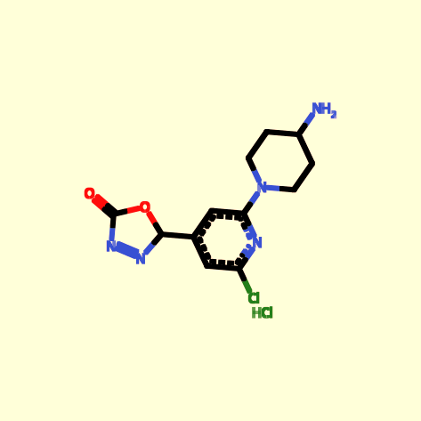 Cl.NC1CCN(c2cc(C3N=NC(=O)O3)cc(Cl)n2)CC1